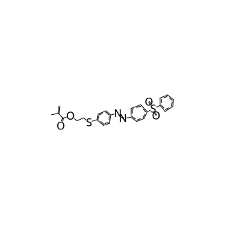 C=C(C)C(=O)OCCSc1ccc(/N=N/c2ccc(S(=O)(=O)c3ccccc3)cc2)cc1